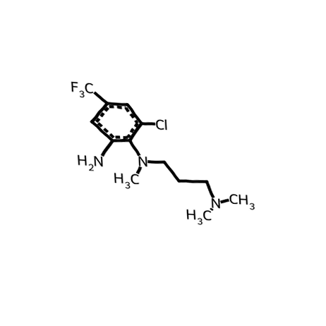 CN(C)CCCN(C)c1c(N)cc(C(F)(F)F)cc1Cl